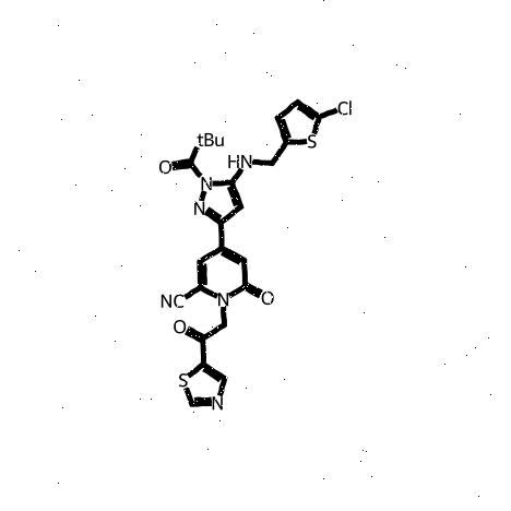 CC(C)(C)C(=O)n1nc(-c2cc(C#N)n(CC(=O)c3cncs3)c(=O)c2)cc1NCc1ccc(Cl)s1